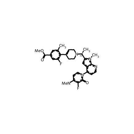 CNc1ccn(-c2ccnc3c2cc([C@H](C)N2CC=C(c4c(C)cc(C(=O)OC)cc4F)CC2)n3C)c(=O)c1F